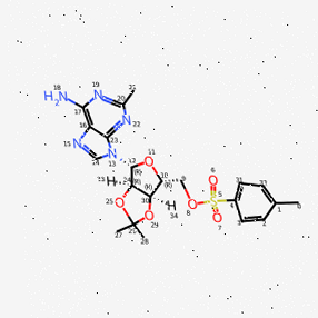 Cc1ccc(S(=O)(=O)OC[C@H]2O[C@@H](n3cnc4c(N)nc(C)nc43)[C@@H]3OC(C)(C)O[C@@H]32)cc1